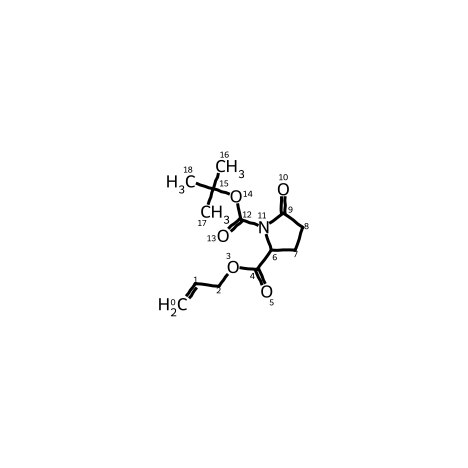 C=CCOC(=O)C1CCC(=O)N1C(=O)OC(C)(C)C